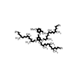 COc1ccc(CO)c(OCc2cc(OCCC(C)CCC[C@H](C)CCC[C@H](C)CCCC(C)C)c(OCCC(C)CCC[C@H](C)CCC[C@H](C)CCCC(C)C)c(OCCC(C)CCC[C@H](C)CCC[C@H](C)CCCC(C)C)c2)c1